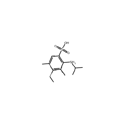 CCc1c(C)cc(S(=O)(=O)O)c([SiH2]C(C)C)c1C